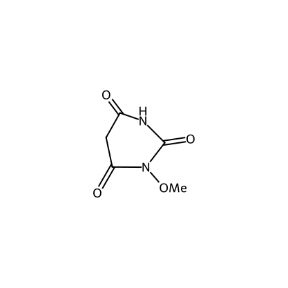 CON1C(=O)CC(=O)NC1=O